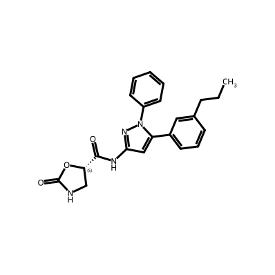 CCCc1cccc(-c2cc(NC(=O)[C@@H]3CNC(=O)O3)nn2-c2ccccc2)c1